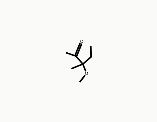 CCC(C)(OC)C(C)=O